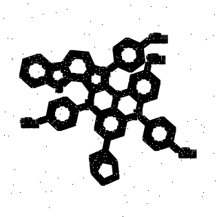 CC(C)(C)c1ccc(N2c3ccc(C(C)(C)C)cc3B3c4c2cc(C2CC5CCC2C5)cc4N(c2ccc(C(C)(C)C)cc2)c2c3n(-c3ccc(C(C)(C)C)cc3)c3ccc4c5ccccc5sc4c23)cc1